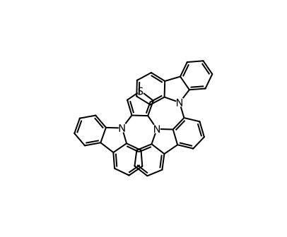 c1ccc2c(c1)c1ccccc1n2-c1cscc1-n1c2ccccc2c2cccc(-n3c4ccccc4c4ccccc43)c21